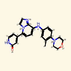 Cc1cc(Nc2ccc(-c3cc[nH]c(=O)c3)n3ccnc23)ccc1N1CCOCC1